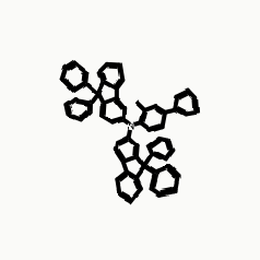 Cc1cc(-c2ccccc2)ccc1N(c1ccc2c(c1)-c1ccccc1C2(c1ccccc1)c1ccccc1)c1ccc2c(c1)C(c1ccccc1)(c1ccccc1)c1ccccc1-2